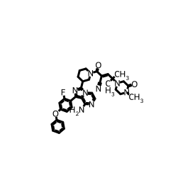 CN1CCN(C(C)(C)C=C(C#N)C(=O)N2CCCC(c3nc(-c4ccc(Oc5ccccc5)cc4F)c4c(N)nccn34)C2)CC1=O